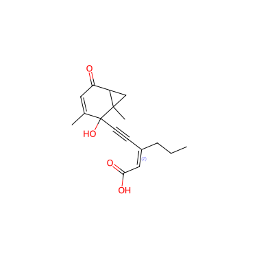 CCC/C(C#CC1(O)C(C)=CC(=O)C2CC21C)=C/C(=O)O